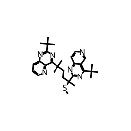 CSC(C)(CCC(C)(C)c1nc(C(C)(C)C)nc2cccnc12)c1nc(C(C)(C)C)c2cnccc2n1